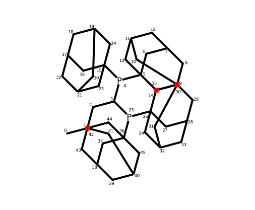 CCCC(P(C12CC3CC(CC(C3)C1)C2)C12CC3CC(CC(C3)C1)C2)P(C12CC3CC(CC(C3)C1)C2)C12CC3CC(CC(C3)C1)C2